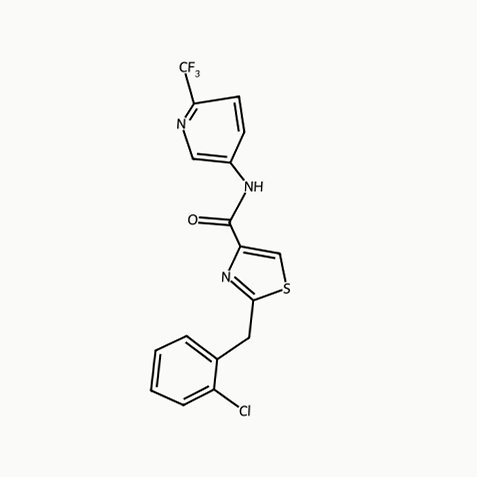 O=C(Nc1ccc(C(F)(F)F)nc1)c1csc(Cc2ccccc2Cl)n1